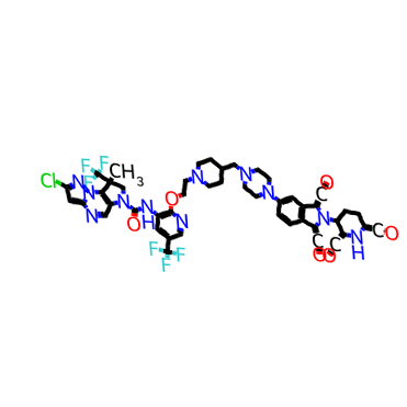 CC1(C(F)(F)F)CN(C(=O)Nc2cc(C(F)(F)F)cnc2OCCN2CCC(CN3CCN(c4ccc5c(=C=O)n(C6CCC(=C=O)NC6=C=O)c(=C=O)c5c4)CC3)CC2)c2cnc3cc(Cl)nn3c21